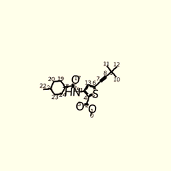 COC(=O)c1sc(C#CC(C)(C)C)cc1NC(=O)C1CCC(C)CC1